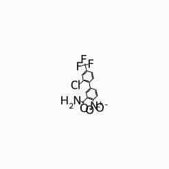 NC(=O)c1cc(-c2ccc(C(F)(F)F)cc2Cl)ccc1[N+](=O)[O-]